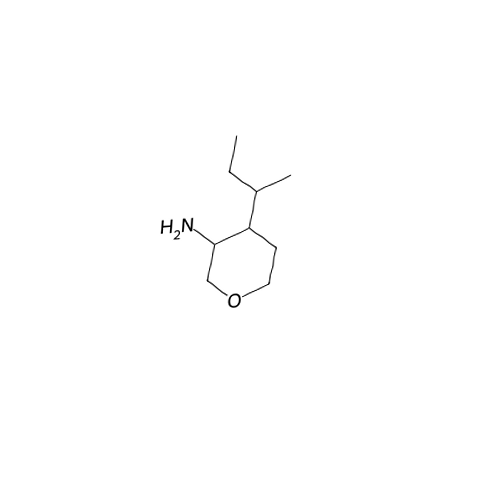 CCC(C)C1CCOCC1N